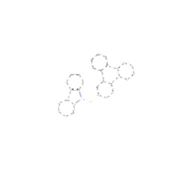 c1ccc2c(c1)c1ccccc1c1cc(Cn3c4ccccc4c4ccccc43)ccc21